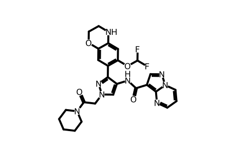 O=C(Nc1cn(CC(=O)N2CCCCC2)nc1-c1cc2c(cc1OC(F)F)NCCO2)c1cnn2cccnc12